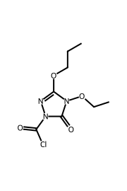 CCCOc1nn(C(=O)Cl)c(=O)n1OCC